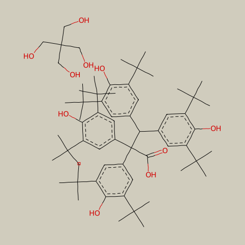 CC(C)(C)c1cc(C(c2cc(C(C)(C)C)c(O)c(C(C)(C)C)c2)C(C(=O)O)(c2cc(C(C)(C)C)c(O)c(C(C)(C)C)c2)c2cc(C(C)(C)C)c(O)c(C(C)(C)C)c2)cc(C(C)(C)C)c1O.OCC(CO)(CO)CO